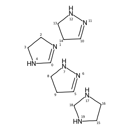 C1=NCCN1.C1=NNCC1.C1=NNCC1.C1CNCN1